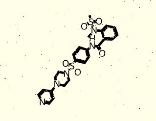 CN(c1ccccc1C(=O)Nc1ccc(S(=O)(=O)N2CCN(c3ccncc3)CC2)cc1)S(C)(=O)=O